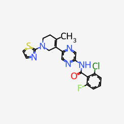 CC1=C(c2cnc(NC(=O)c3c(F)cccc3Cl)cn2)CN(c2nccs2)CC1